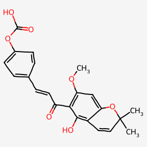 COc1cc2c(c(O)c1C(=O)C=Cc1ccc(OC(=O)O)cc1)C=CC(C)(C)O2